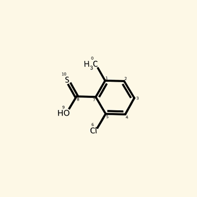 Cc1cccc(Cl)c1C(O)=S